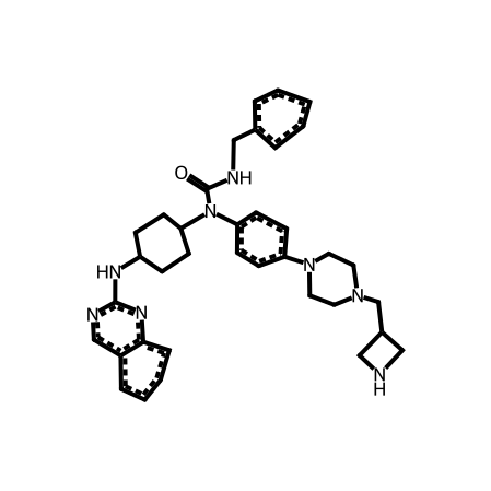 O=C(NCc1ccccc1)N(c1ccc(N2CCN(CC3CNC3)CC2)cc1)C1CCC(Nc2ncc3ccccc3n2)CC1